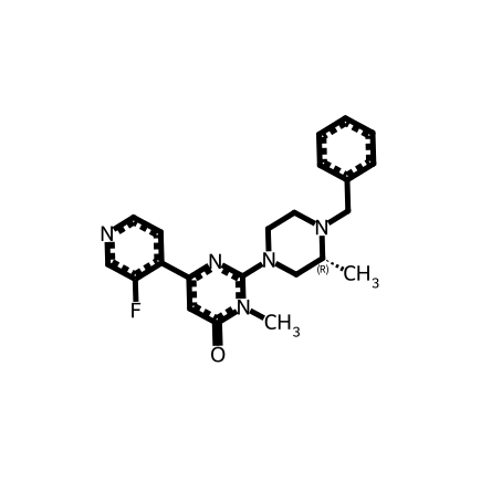 C[C@@H]1CN(c2nc(-c3ccncc3F)cc(=O)n2C)CCN1Cc1ccccc1